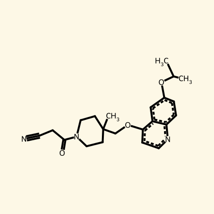 CC(C)Oc1ccc2nccc(OCC3(C)CCN(C(=O)CC#N)CC3)c2c1